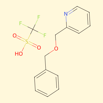 O=S(=O)(O)C(F)(F)F.c1ccc(COCc2ccccn2)cc1